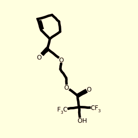 O=C(OCCOC(=O)C(O)(C(F)(F)F)C(F)(F)F)C1C=CCCC1